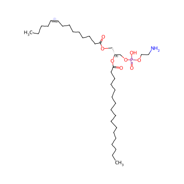 CCCC/C=C\CCCCCCCC(=O)OC[C@H](COP(=O)(O)OCCN)OC(=O)CCCCCCCCCCCCCCCC